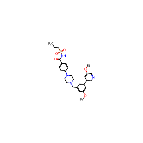 CCOc1cncc(-c2cc(CN3CCN(c4ccc(C(=O)NS(=O)(=O)CCC(F)(F)F)cc4)CC3)cc(OC(C)C)c2)c1